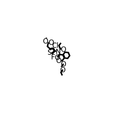 CCOCOC(=O)C1=C(C(=O)N(C(=O)CC)c2c(F)sc(CC(=O)OC)c2Cl)CCCC1